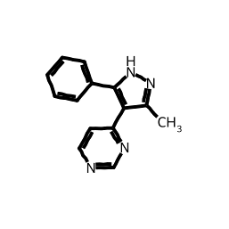 Cc1n[nH]c(-c2ccccc2)c1-c1ccncn1